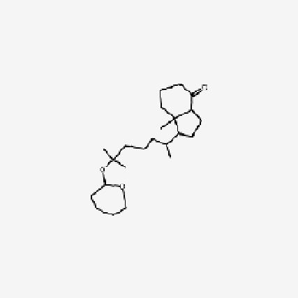 CC(CCCC(C)(C)OC1CCCCO1)C1CCC2C(=O)CCCC21C